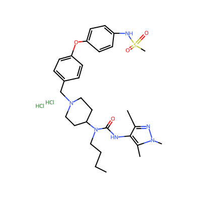 CCCCN(C(=O)Nc1c(C)nn(C)c1C)C1CCN(Cc2ccc(Oc3ccc(NS(C)(=O)=O)cc3)cc2)CC1.Cl.Cl